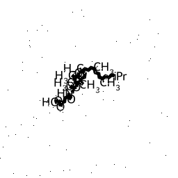 Cc1c(C)c2c(c(C)c1OC(=O)CNC(=O)CCC(=O)OO)CC[C@@](C)(CCC[C@H](C)CCC[C@H](C)CCCC(C)C)O2